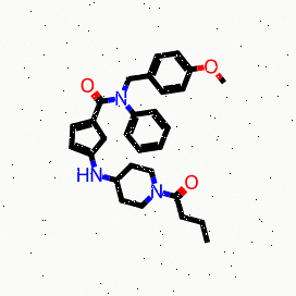 CCCC(=O)N1CCC(NC2=CC=C(C(=O)N(Cc3ccc(OC)cc3)c3ccccc3)C2)CC1